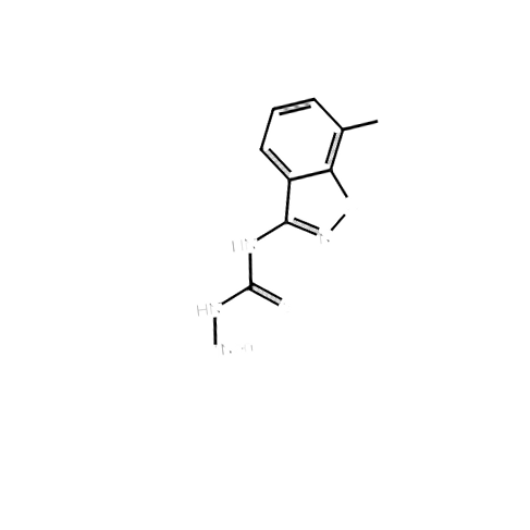 CCCCCCCCCNC(=S)Nc1noc2c(F)cccc12